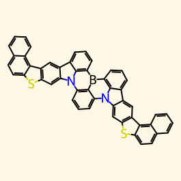 c1cc2c3c(c1)-n1c4cc5sc6ccc7ccccc7c6c5cc4c4cccc(c41)B3c1cccc3c4cc5c(cc4n-2c13)sc1ccc2ccccc2c15